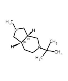 CN1C[C@H]2CCN(C(C)(C)C)C[C@H]2C1